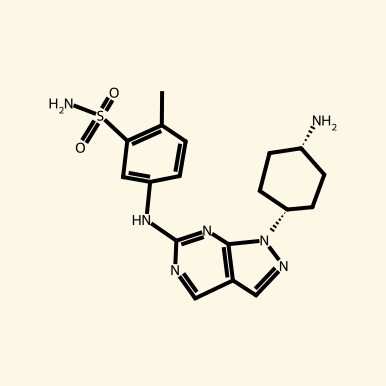 Cc1ccc(Nc2ncc3cnn([C@H]4CC[C@@H](N)CC4)c3n2)cc1S(N)(=O)=O